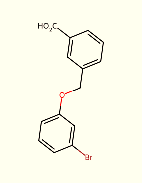 O=C(O)c1cccc(COc2cccc(Br)c2)c1